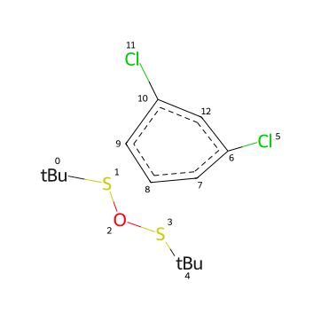 CC(C)(C)SOSC(C)(C)C.Clc1cccc(Cl)c1